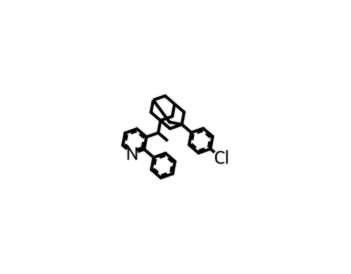 CC(c1cccnc1-c1ccccc1)C12CC3CC(CC(c4ccc(Cl)cc4)(C3)C1)C2